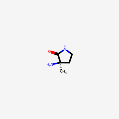 C[C@@]1(N)CCNC1=O